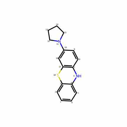 c1ccc2c(c1)Nc1ccc(N3CCCC3)cc1S2